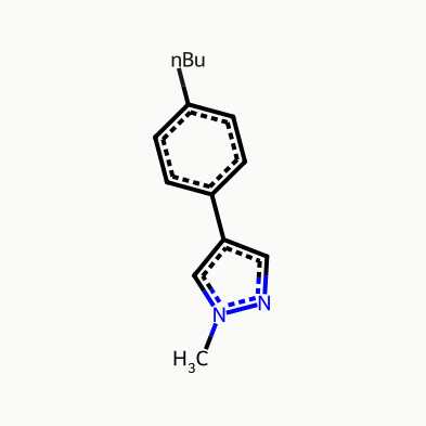 CCCCc1ccc(-c2cnn(C)c2)cc1